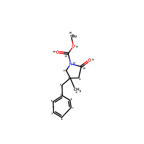 CC1(Cc2ccccc2)CC(=O)N(C(=O)OC(C)(C)C)C1